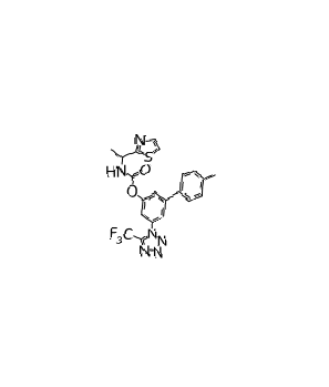 Cc1ccc(-c2cc(OC(=O)NC(C)c3nccs3)cc(-n3nnnc3C(F)(F)F)c2)cc1